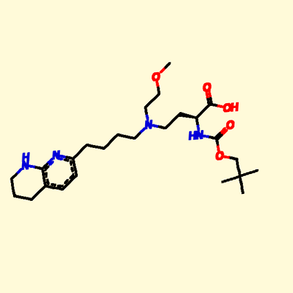 COCCN(CCCCc1ccc2c(n1)NCCC2)CC[C@H](NC(=O)OCC(C)(C)C)C(=O)O